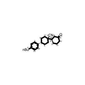 CCCCc1ccc([C@H]2CC[C@@](C#N)([C@@H]3CCCC(=O)C3)CC2)cc1